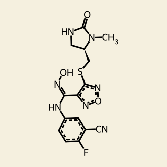 CN1C(=O)NC[C@@H]1CSc1nonc1/C(=N\O)Nc1ccc(F)c(C#N)c1